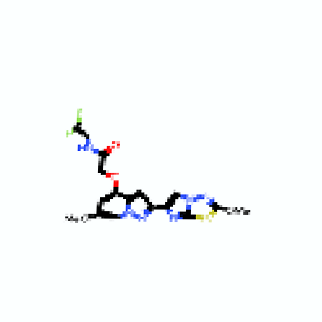 COc1cc(OCC(=O)NCC(F)F)c2cc(-c3cn4nc(OC)sc4n3)nn2c1